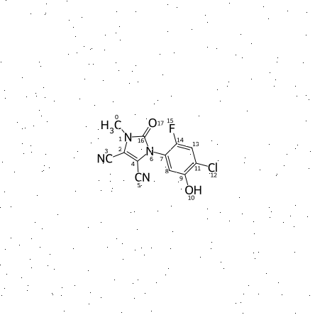 Cn1c(C#N)c(C#N)n(-c2cc(O)c(Cl)cc2F)c1=O